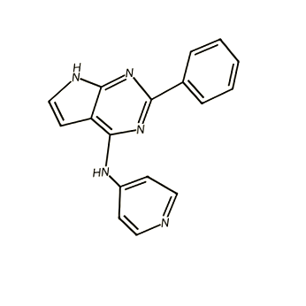 c1ccc(-c2nc(Nc3ccncc3)c3cc[nH]c3n2)cc1